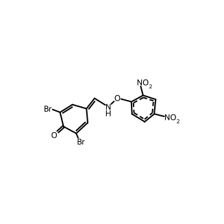 O=C1C(Br)=CC(=CNOc2ccc([N+](=O)[O-])cc2[N+](=O)[O-])C=C1Br